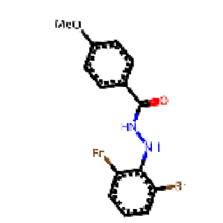 COc1ccc(C(=O)NNc2c(Br)cccc2Br)cc1